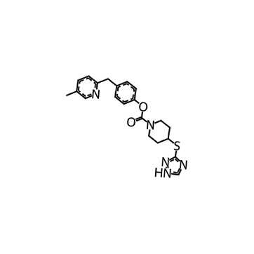 Cc1ccc(Cc2ccc(OC(=O)N3CCC(Sc4nc[nH]n4)CC3)cc2)nc1